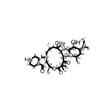 CO[C@]1(C)C[C@@H](C)CN(C)[C@@H](C(=O)N2CCNCC2)[C@H](C)OC(=O)C(C)(C)C(=O)[C@H](C)[C@H]1O[C@@H]1O[C@H](C)C[C@H](N(C)C)[C@H]1O